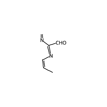 C=N/C(C=O)=N\C=C/C